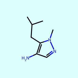 CC(C)Cc1c(N)cnn1C